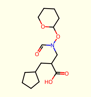 O=CN(CC(CC1CCCC1)C(=O)O)OC1CCCCO1